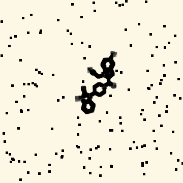 N#CCn1c(C(=O)N2CCC(n3c(=O)[nH]c4ccccc43)CC2)cc2cc(Br)ccc21